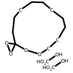 C1CCCCCC2(OOCCCC1)OO2.O=C(O)O.O=C(O)O